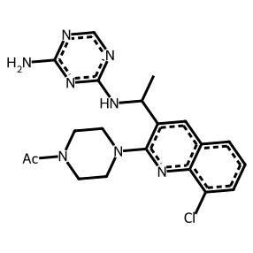 CC(=O)N1CCN(c2nc3c(Cl)cccc3cc2C(C)Nc2ncnc(N)n2)CC1